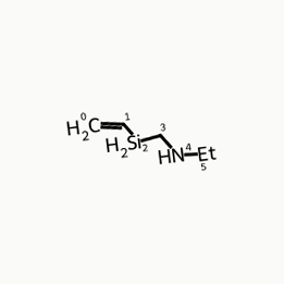 C=C[SiH2]CNCC